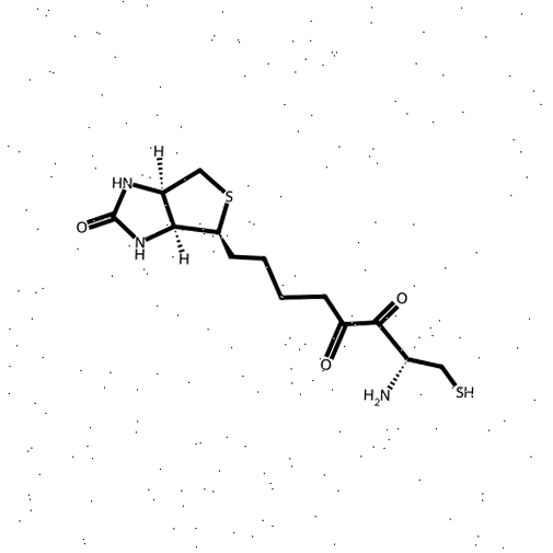 N[C@@H](CS)C(=O)C(=O)CCCC[C@@H]1SC[C@@H]2NC(=O)N[C@@H]21